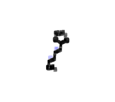 C/C=C/C=C/C(=O)[O][SbH2]